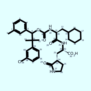 Cc1cccc(C(OC(=O)N[C@@H](CC2CCCCC2)C(=O)N[C@@H](C[C@@H]2CCNC2=O)C(=O)O)C(C)(C)c2cccc(Cl)c2)c1